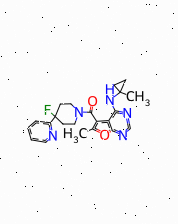 Cc1oc2ncnc(NC3(C)CC3)c2c1C(=O)N1CCC(F)(c2ccccn2)CC1